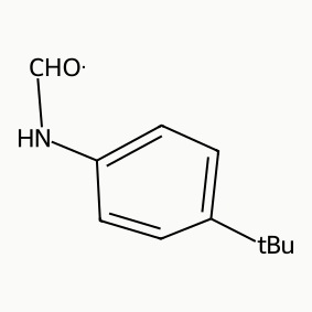 CC(C)(C)c1ccc(N[C]=O)cc1